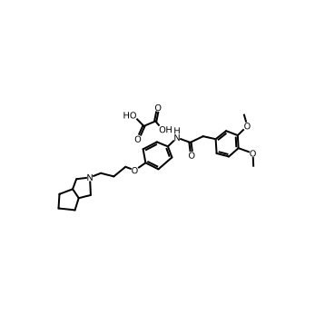 COc1ccc(CC(=O)Nc2ccc(OCCCN3CC4CCCC4C3)cc2)cc1OC.O=C(O)C(=O)O